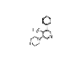 Cc1c(-c2ccccc2)[c]ncc1N1CCOCC1